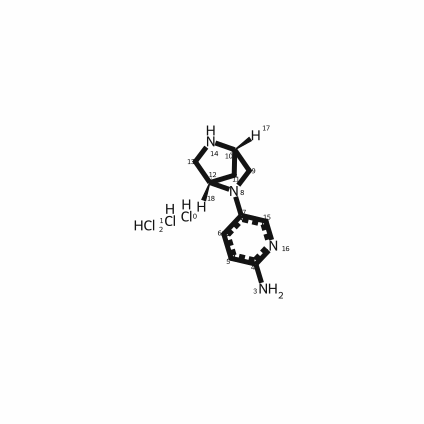 Cl.Cl.Cl.Nc1ccc(N2C[C@@H]3C[C@H]2CN3)cn1